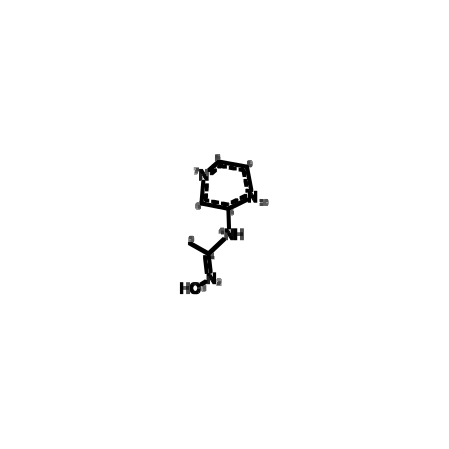 C/C(=N\O)Nc1cnccn1